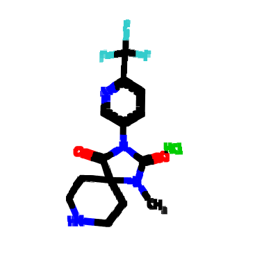 CN1C(=O)N(c2ccc(C(F)(F)F)nc2)C(=O)C12CCNCC2.Cl